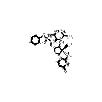 C#C[C@@]1(O)[C@H](O)[C@@H](CO[P@@](=O)(NC(C)C(=O)OC(C)C)Oc2ccccc2)O[C@H]1n1ccc(=O)[nH]c1=O